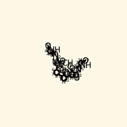 COc1nc(-c2cccc(-c3cccc(-c4cc5c(c(OC)n4)[C@@H](N4CC6(CCC(=O)N6)C4)CO5)c3C)c2Cl)cnc1CN1CC2(CCC(=O)N2)C1